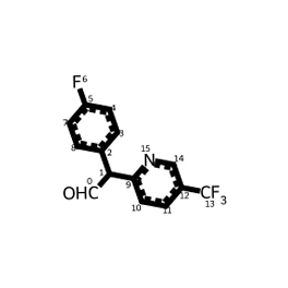 O=CC(c1ccc(F)cc1)c1ccc(C(F)(F)F)cn1